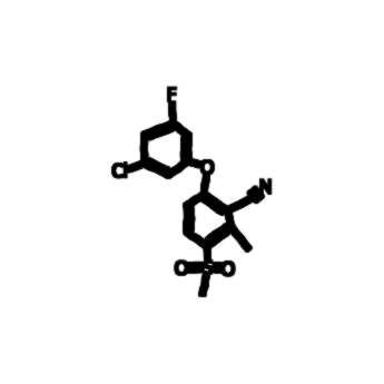 Cc1c(S(C)(=O)=O)ccc(Oc2cc(F)cc(Cl)c2)c1C#N